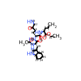 C=CCC(NC(=O)[C@H](CCC(=O)C=N)NC(=O)[C@H](Cc1c[nH]c2ccccc12)NC(C)=O)C(=O)OCC